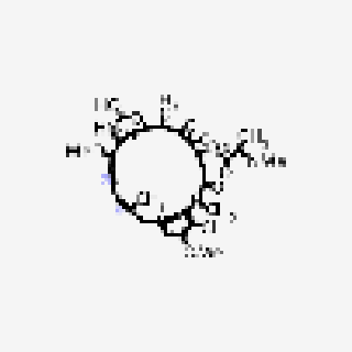 CNC(C)C(=O)OC1CC(=O)N(C)c2cc(cc(OC)c2Cl)C/C(C)=C/C=C/C(OC)C2(O)CC(O[C@@H](O)N2)C(C)C2OC12C